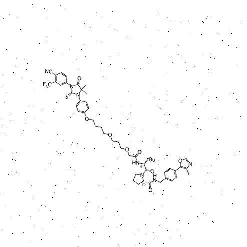 Cc1ncoc1-c1ccc(CNC(=O)[C@@H]2CCCN2C(=O)[C@@H](NC(=O)COCCCOCCCCOc2ccc(N3C(=S)N(c4ccc(C#N)c(C(F)(F)F)c4)C(=O)C3(C)C)cc2)C(C)(C)C)cc1